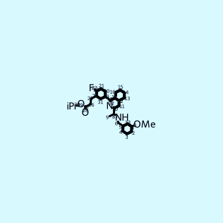 COc1cccc(CNC(C)c2cc3ccccc3c(-c3ccc(F)c(CCC(=O)OC(C)C)c3)n2)c1